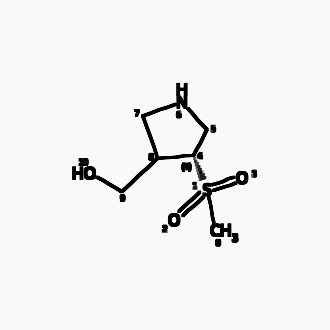 CS(=O)(=O)[C@H]1CNCC1CO